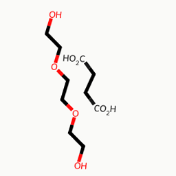 O=C(O)CCC(=O)O.OCCOCCOCCO